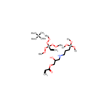 C=CC(=O)OCC(O)CNCCC[Si](OCC)(OCC)OCC.C=C[Si](OOC(C)(C)C)(OOC(C)(C)C)OOC(C)(C)C.CO[Si](C)(OC)OC